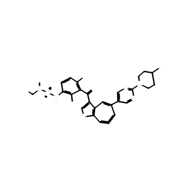 CCN(C)S(=O)(=O)Nc1ccc(F)c(C(=O)c2c[nH]c3c2C=C(c2cnc(N4CCC(C)CC4)nc2)C=C=C3)c1C